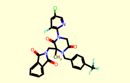 CC1(CN2C(=O)c3ccccc3C2=O)C(=O)N(c2ncc(Cl)cc2F)CC(=O)N1Cc1ccc(C(F)(F)F)cc1